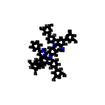 Cc1cc(C)cc(-c2ccc3c(c2)c2cc(-c4cc(C)cc(C)c4)ccc2n3-c2cc(-c3nc(-c4ccccc4)cc(-c4ccccc4)n3)c(-n3c4ccc(-c5cc(C)cc(C)c5)cc4c4cc(-c5cc(C)cc(C)c5)ccc43)cc2C#N)c1